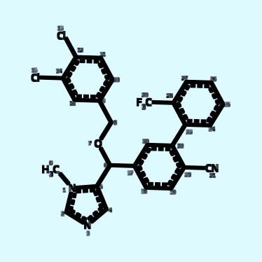 Cn1cncc1C(OCc1ccc(Cl)c(Cl)c1)c1ccc(C#N)c(-c2ccccc2C(F)(F)F)c1